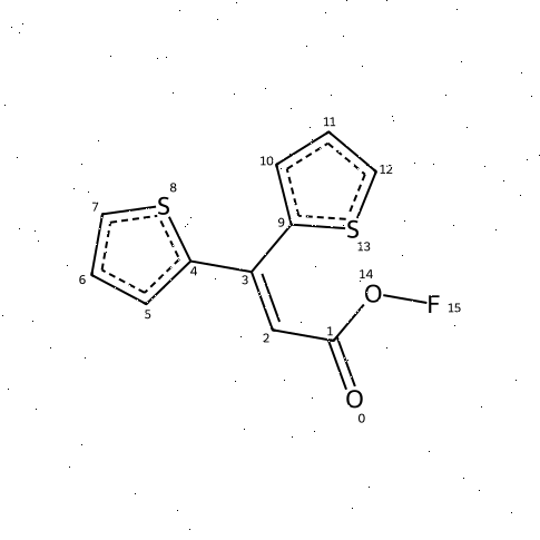 O=C(C=C(c1cccs1)c1cccs1)OF